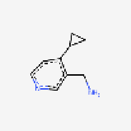 NCc1cnccc1C1CC1